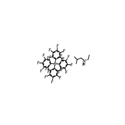 CC[NH+](C)CC(C)C.Fc1c(F)c(F)c([B-](c2c(F)c(F)c(F)c(F)c2F)(c2c(F)c(F)c(F)c(F)c2F)c2c(F)c(F)c(F)c(F)c2F)c(F)c1F